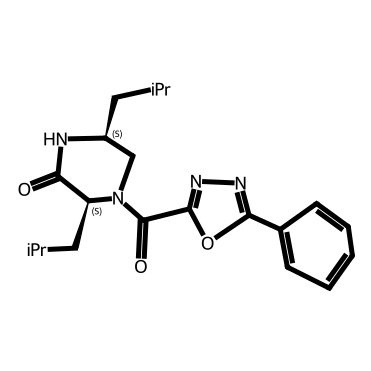 CC(C)C[C@H]1CN(C(=O)c2nnc(-c3ccccc3)o2)[C@@H](CC(C)C)C(=O)N1